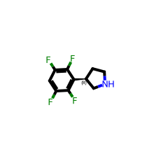 Fc1cc(F)c(F)c([C@H]2CCNC2)c1F